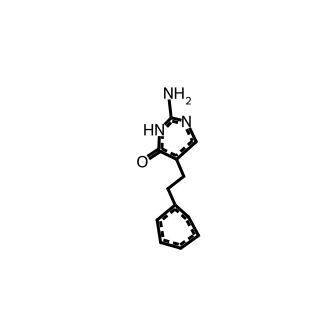 Nc1ncc(CCc2ccccc2)c(=O)[nH]1